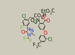 CCOC(=O)COC(=O)c1cc(Oc2ccc(C(F)(F)F)cc2Cl)ccc1[N+](=O)[O-].Cc1nn(-c2cc(CC(Cl)C(=O)O)c(Cl)cc2F)c(=O)n1C(F)F